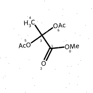 COC(=O)C(C)(OC(C)=O)OC(C)=O